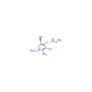 C#CC1=C(CSNCC)C(O)=C(C)N(CC)C1